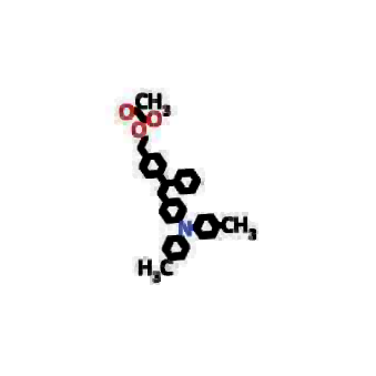 CC(=O)C(=O)OCCc1ccc(C(=Cc2ccc(N(c3ccc(C)cc3)c3ccc(C)cc3)cc2)c2ccccc2)cc1